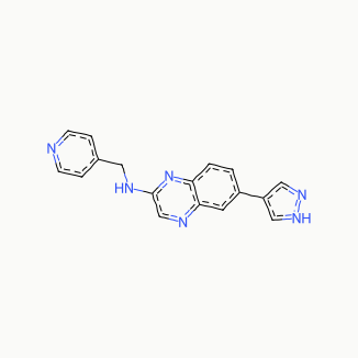 c1cc(CNc2cnc3cc(-c4cn[nH]c4)ccc3n2)ccn1